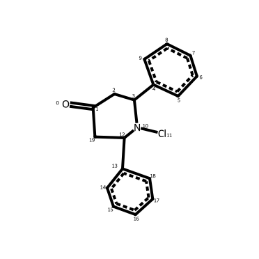 O=C1CC(c2ccccc2)N(Cl)C(c2ccccc2)C1